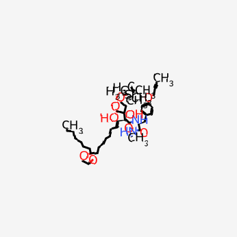 CC#CCOc1ccc(C[C@H](NC(=O)[C@@H](C=CCCCCCCC2(CCCCCCC)OCCO2)[C@@](O)(CCO[Si](C)(C)C(C)(C)C)C(=O)O)C(=O)NC)cc1